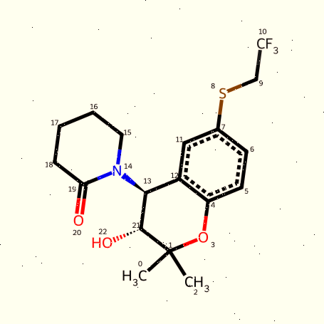 CC1(C)Oc2ccc(SCC(F)(F)F)cc2[C@H](N2CCCCC2=O)[C@H]1O